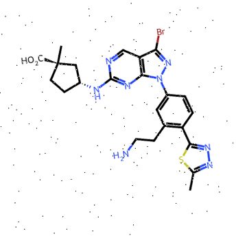 Cc1nnc(-c2ccc(-n3nc(Br)c4cnc(N[C@@H]5CC[C@@](C)(C(=O)O)C5)nc43)cc2CCN)s1